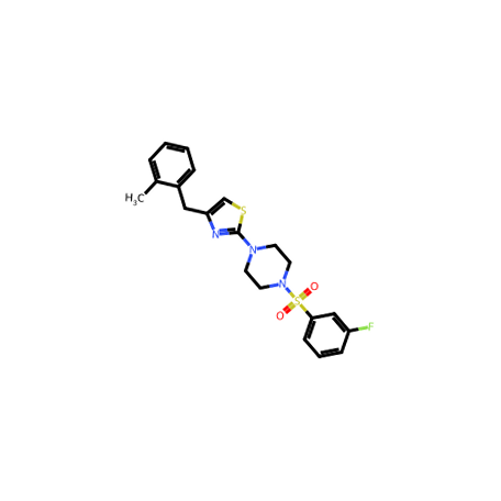 Cc1ccccc1Cc1csc(N2CCN(S(=O)(=O)c3cccc(F)c3)CC2)n1